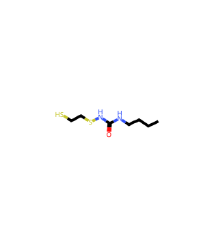 CCCCNC(=O)NSCCS